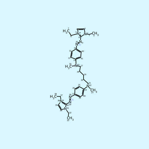 CCn1cc[n+](CC)c1/N=N/c1ccc(N(C)CCCCCN(C)c2ccc(/N=N/c3n(CC)cc[n+]3CC)cc2)cc1